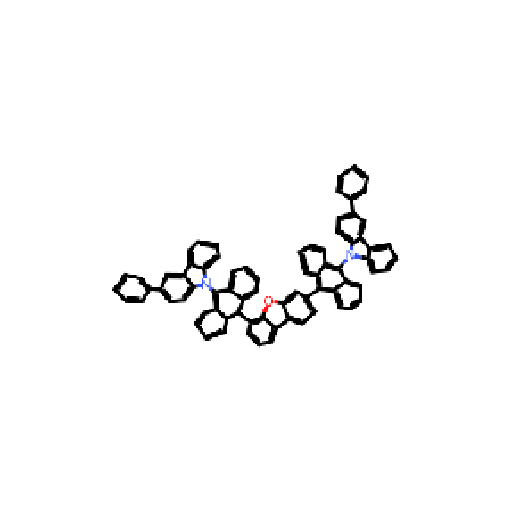 C1=CC2=C(n3c4ccccc4c4cc(-c5ccccc5)ccc43)c3ccccc3C(c3cccc4c3oc3cc(-c5c6ccccc6c(-n6c7ccccc7c7cc(-c8ccccc8)ccc76)c6ccccc56)ccc34)C2C=C1